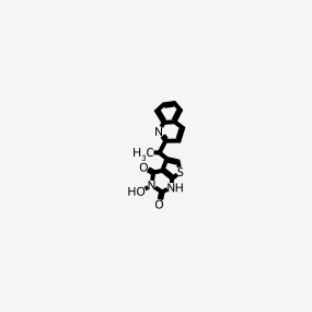 CC(c1ccc2ccccc2n1)c1csc2[nH]c(=O)n(O)c(=O)c12